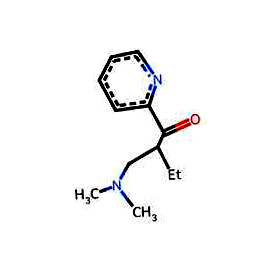 CCC(CN(C)C)C(=O)c1ccccn1